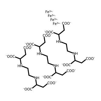 O=C([O-])CC(NCCNC(CC(=O)[O-])C(=O)[O-])C(=O)[O-].O=C([O-])CC(NCCNC(CC(=O)[O-])C(=O)[O-])C(=O)[O-].O=C([O-])CC(NCCNC(CC(=O)[O-])C(=O)[O-])C(=O)[O-].[Fe+3].[Fe+3].[Fe+3].[Fe+3]